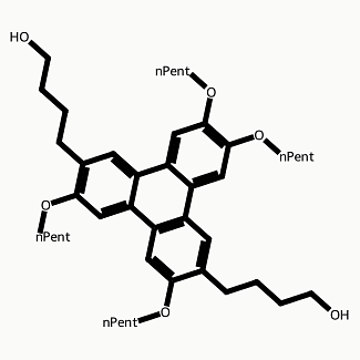 CCCCCOc1cc2c(cc1CCCCO)c1cc(OCCCCC)c(OCCCCC)cc1c1cc(CCCCO)c(OCCCCC)cc12